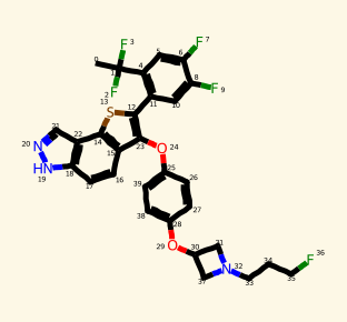 CC(F)(F)c1cc(F)c(F)cc1-c1sc2c(ccc3[nH]ncc32)c1Oc1ccc(OC2CN(CCCF)C2)cc1